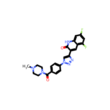 CN1CCN(C(=O)c2ccc(-n3cc(-c4cc5c(F)cc(F)cc5[nH]c4=O)nn3)cc2)CC1